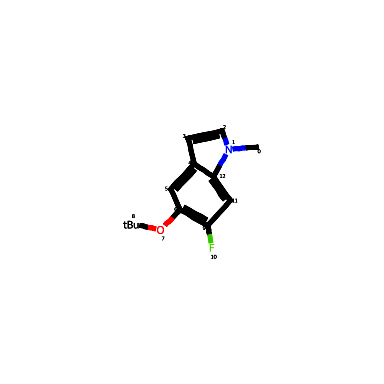 Cn1ccc2cc(OC(C)(C)C)c(F)cc21